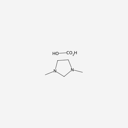 CN1CCN(C)C1.O=C(O)O